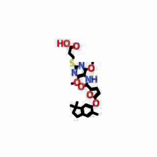 COc1nc(SCCC(=O)O)nc(OC)c1NC(=O)c1ccc(Oc2cc3c(cc2C)CCC3(C)C)o1